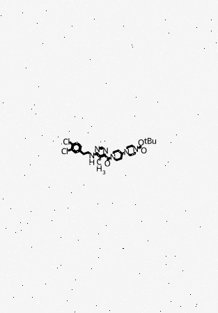 Cc1c(NCCc2ccc(Cl)c(Cl)c2)ncnc1C(=O)N1CCC(N2CCN(C(=O)OC(C)(C)C)CC2)CC1